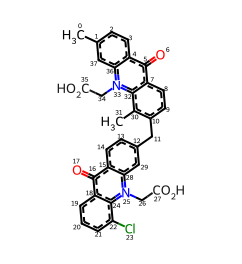 Cc1ccc2c(=O)c3ccc(Cc4ccc5c(=O)c6cccc(Cl)c6n(CC(=O)O)c5c4)c(C)c3n(CC(=O)O)c2c1